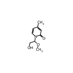 COC(CO)n1ccc(C)cc1=O